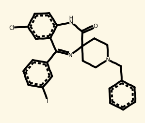 O=C1Nc2ccc(Cl)cc2C(c2cccc(I)c2)=NC12CCN(Cc1ccccc1)CC2